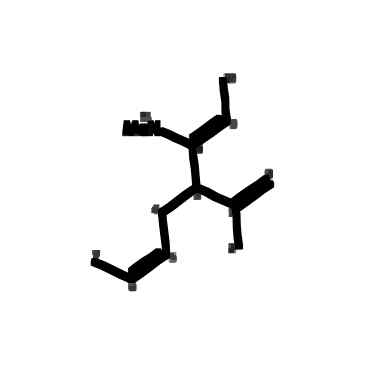 C=C(C)C(C/C=C\C)/C(=C/C)NC